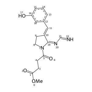 COC(=O)CCC(=O)N1CCC(=C\c2cccc(O)c2)/C1=N\C=N